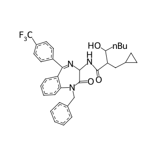 CCCCC(O)C(CC1CC1)C(=O)NC1N=C(c2ccc(C(F)(F)F)cc2)c2ccccc2N(Cc2ccccc2)C1=O